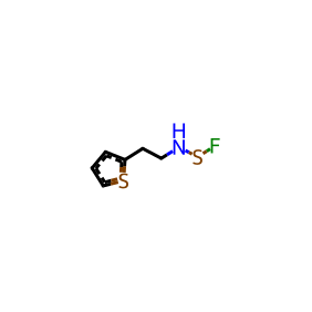 FSNCCc1cccs1